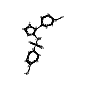 O=S(=O)(Nc1ccnn1-c1ccc(F)cc1)c1ccc(Cl)cc1